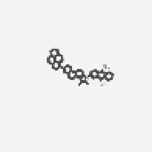 Cc1c(C)n(-c2ccc3c(C(C)(C)C)c4ccccc4c(C(C)(C)C)c3c2)c2ccc3c4ccc(-c5ccc6ccc7cccc8ccc5c6c78)cc4ccc3c12